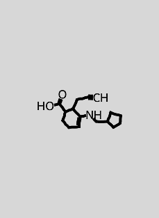 C#CCC1C(NCC2CCCC2)=CCCC1C(=O)O